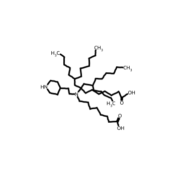 CCCCCCC(CCCCC)CC(CCCCCCC(=O)O)(CC(CCCCC)CCCCCC)N(CCCCCCCC(=O)O)CCC1CCNCC1